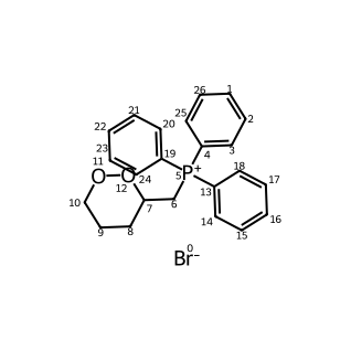 [Br-].c1ccc([P+](CC2CCCOO2)(c2ccccc2)c2ccccc2)cc1